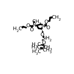 C=CCOC(=O)N(C)[C@H]1C[C@@H](CO[SiH2]CO[Si](C)(C)C(C)(C)C)N(C(=O)OCC=C)C1